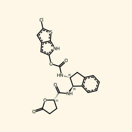 O=C1CC[C@@H](C(=O)N[C@@H]2c3ccccc3C[C@H]2NC(=O)Oc2cc3cc(Cl)sc3[nH]2)O1